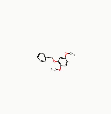 COc1[c]cc(OC)c(OCc2ccccc2)c1